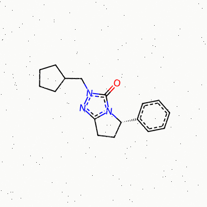 O=c1n(CC2CCCC2)nc2n1[C@H](c1ccccc1)CC2